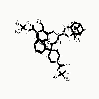 COc1c(C[C@H](NC(=O)C2(c3ccccc3)CCN(C(=O)OC(C)(C)C)CC2)B2OC3CC4CC(C4(C)C)C3(C)O2)cccc1C(=O)OC(C)(C)C